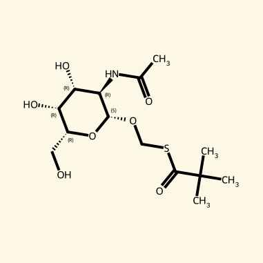 CC(=O)N[C@H]1[C@H](OCSC(=O)C(C)(C)C)O[C@H](CO)[C@H](O)[C@@H]1O